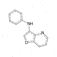 c1ccc(Nc2coc3cccnc23)cc1